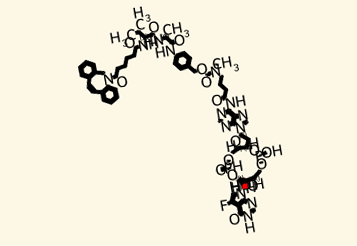 CC(C)[C@H](NC(=O)CCCCC(=O)N1Cc2ccccc2C#Cc2ccccc21)C(=O)N[C@@H](C)C(=O)Nc1ccc(COC(=O)N(C)CCCC(=O)Nc2ncnc3c2ncn3[C@H]2C[C@@H]3OP(O)OC[C@H]4O[C@@H](n5cc(F)c6c(=O)[nH]cnc65)[C@H](O[PH](=O)OC[C@H]3O2)[C@@H]4O)cc1